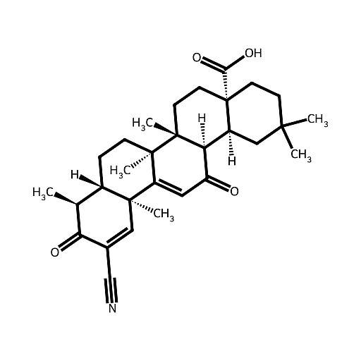 C[C@@H]1C(=O)C(C#N)=C[C@]2(C)C3=CC(=O)[C@@H]4[C@@H]5CC(C)(C)CC[C@]5(C(=O)O)CC[C@@]4(C)[C@]3(C)CC[C@@H]12